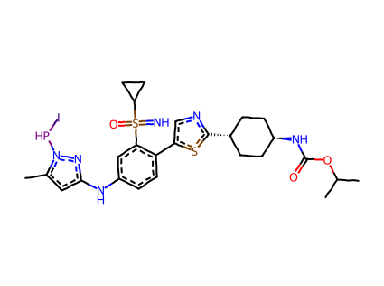 Cc1cc(Nc2ccc(-c3cnc([C@H]4CC[C@H](NC(=O)OC(C)C)CC4)s3)c(S(=N)(=O)C3CC3)c2)nn1PI